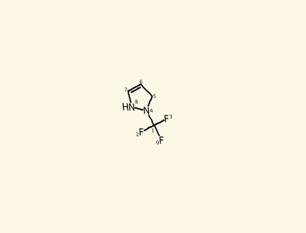 FC(F)(F)N1CC=CN1